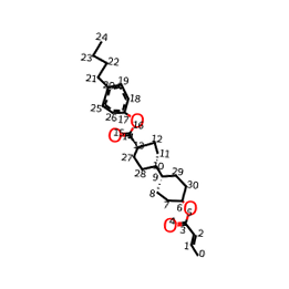 CC=CC(=O)O[C@H]1CC[C@H]([C@H]2CC[C@H](C(=O)Oc3ccc(CCCC)cc3)CC2)CC1